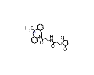 C/C1=C/c2ccccc2N(C(=O)CCNC(=O)CCN2C(=O)C=CC2=O)Cc2ccccc21